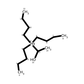 CCCC[PH](CCCC)(CCCC)C(C)O